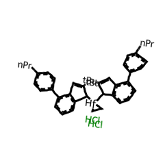 CCCc1ccc(-c2cccc3c2C=C(C(C)(C)C)[CH]3[Hf]2([CH]3C(C(C)(C)C)=Cc4c(-c5ccc(CCC)cc5)cccc43)[CH2][CH2]2)cc1.Cl.Cl